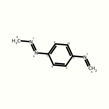 C=Nc1ccc(N=NC)cc1